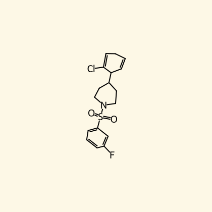 O=S(=O)(c1cccc(F)c1)N1CCC(C2C=CCC=C2Cl)CC1